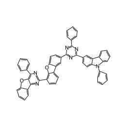 c1ccc(-c2nc(-c3ccc4oc5c(-c6nc(-c7ccccc7)c7oc8ccccc8c7n6)cccc5c4c3)nc(-c3ccc4c(c3)c3ccccc3n4-c3ccccc3)n2)cc1